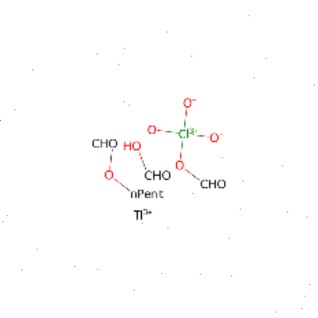 CCCCCO[C-]=O.O=[C-]O.O=[C-]O[Cl+3]([O-])([O-])[O-].[Tl+3]